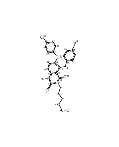 Cn1c(=O)n(CCCOC=O)c(=O)c2c(Cc3ccc(F)cc3)c(Oc3ccc(Cl)cc3)cnc21